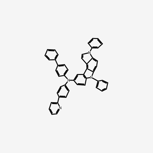 c1ccc(-c2ccc(N(c3ccc(-c4ccccn4)cc3)c3ccc4c(c3)c3c5ccn(-c6ccccc6)c5ccc3n4-c3ccccc3)cc2)cc1